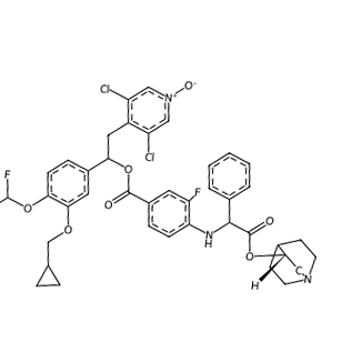 O=C(OC(Cc1c(Cl)c[n+]([O-])cc1Cl)c1ccc(OC(F)F)c(OCC2CC2)c1)c1ccc(NC(C(=O)O[C@H]2CN3CCC2CC3)c2ccccc2)c(F)c1